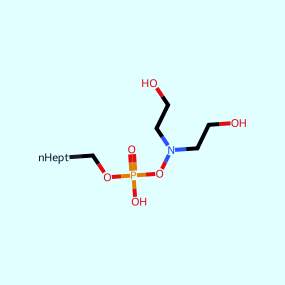 CCCCCCCCOP(=O)(O)ON(CCO)CCO